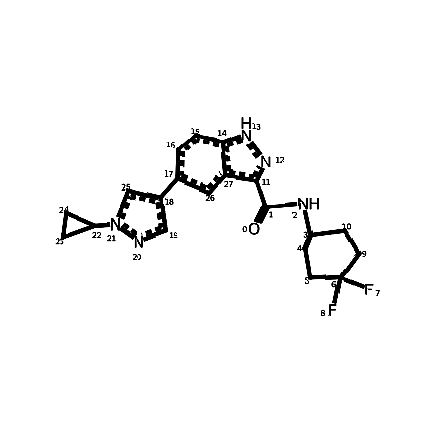 O=C(NC1CCC(F)(F)CC1)c1n[nH]c2ccc(-c3cnn(C4CC4)c3)cc12